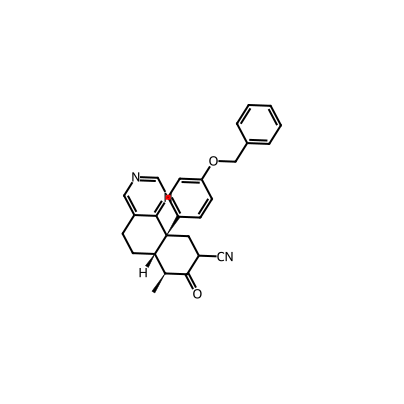 C[C@@H]1C(=O)C(C#N)C[C@@]2(c3ccc(OCc4ccccc4)cc3)c3ncncc3CC[C@@H]12